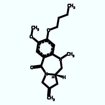 C=C1C[C@H]2CN(C)c3cc(OCCCC)c(OC)cc3C(=O)N2C1